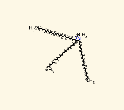 C[CH]c1nc(CCCCCCCCCCCCCCCCCCCCCCC)c(CCCCCCCCCCCCCCCCCCCCCCC)c(CCCCCCCCCCCCCCCCCCCCCCC)n1